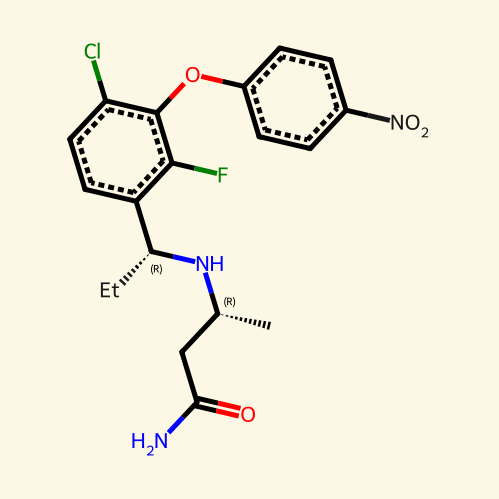 CC[C@@H](N[C@H](C)CC(N)=O)c1ccc(Cl)c(Oc2ccc([N+](=O)[O-])cc2)c1F